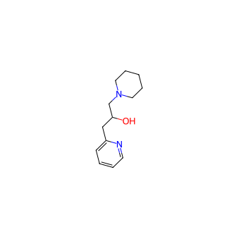 OC(Cc1ccccn1)CN1CCCCC1